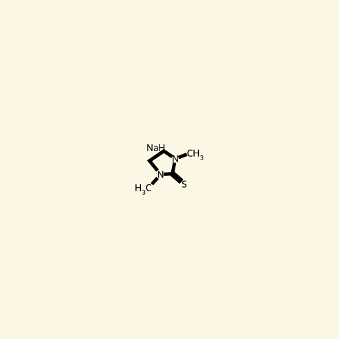 CN1CCN(C)C1=S.[NaH]